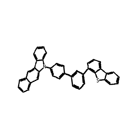 c1cc(-c2ccc(-n3c4ccccc4c4cc5ccccc5cc43)cc2)cc(-c2cccc3c2sc2ccccc23)c1